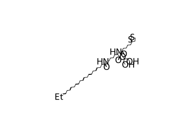 CCC=CCC=CCC=CCC=CCC=CCC=CCCC(=O)NCCCCC(NC(=O)CCCCC1CCSS1)C(=O)OC(CO)CO